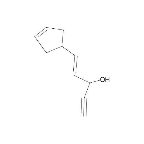 C#CC(O)C=CC1CC=CC1